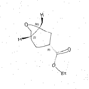 CCOC(=O)[C@@H]1C[C@@H]2O[C@@H]2C1